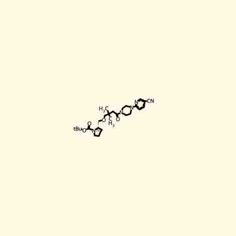 CC(C)(COC[C@@H]1CCCN1C(=O)OC(C)(C)C)CC(=O)N1CCN(c2ccc(C#N)cn2)CC1